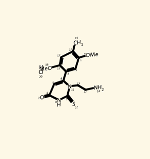 COc1cc(-c2cc(=O)[nH]c(=S)n2CCN)c(OC)cc1C.Cl